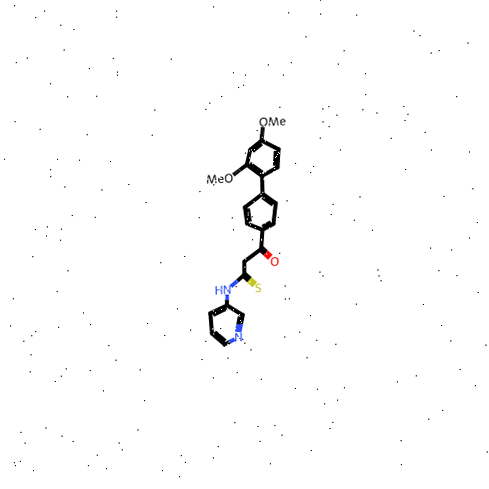 COc1ccc(-c2ccc(C(=O)CC(=S)Nc3cccnc3)cc2)c(OC)c1